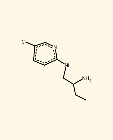 CCC(N)CNc1ccc(Cl)cn1